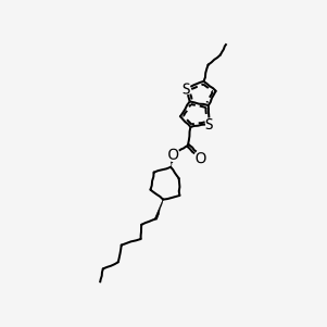 CCCCCCC[C@H]1CC[C@H](OC(=O)c2cc3sc(CCC)cc3s2)CC1